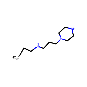 O=C(O)CCNCCCN1CCNCC1